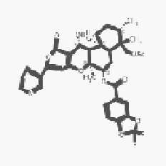 CC(=O)OCC1(C)C2C[C@H](OC(=O)c3ccc4c(c3)OC(F)(F)O4)[C@@]3(C)Oc4cc(-c5cccnc5)oc(=O)c4[C@H](O)C3[C@@]2(C)CC[C@@H]1C